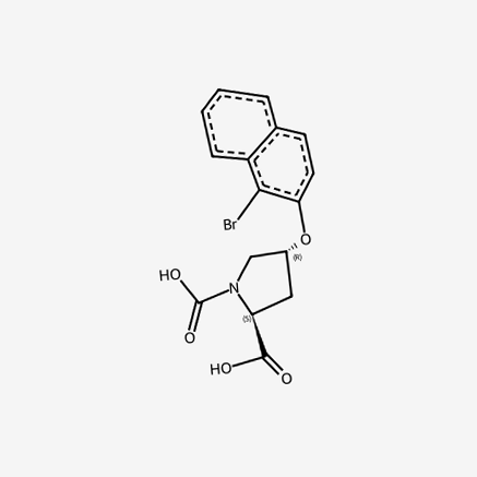 O=C(O)[C@@H]1C[C@@H](Oc2ccc3ccccc3c2Br)CN1C(=O)O